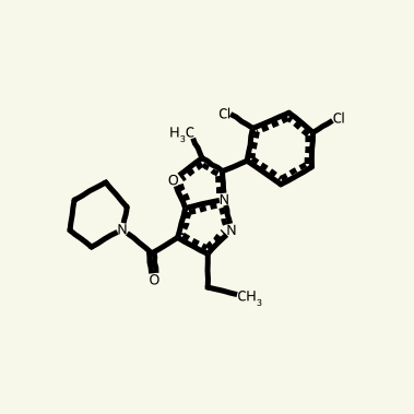 CCc1nn2c(-c3ccc(Cl)cc3Cl)c(C)oc2c1C(=O)N1CCCCC1